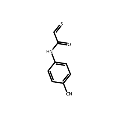 N#Cc1ccc(NC(=O)C=S)cc1